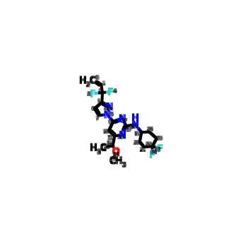 C=CC(F)(F)c1ccn(-c2cc(C(C)OC)nc(NC3CCC(F)(F)CC3)n2)n1